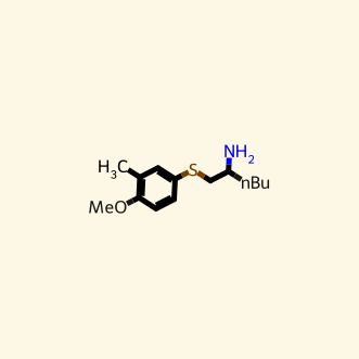 CCCCC(N)CSc1ccc(OC)c(C)c1